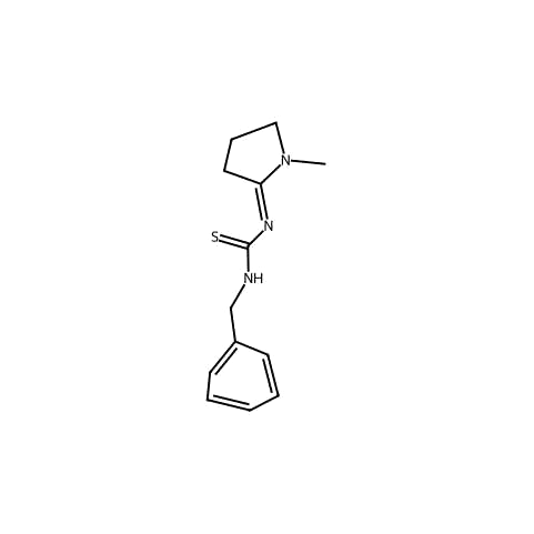 CN1CCCC1=NC(=S)NCc1ccccc1